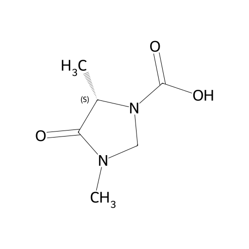 C[C@H]1C(=O)N(C)CN1C(=O)O